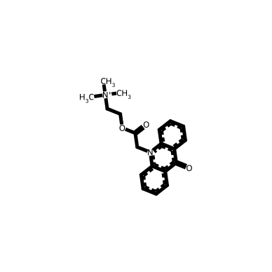 C[N+](C)(C)CCOC(=O)Cn1c2ccccc2c(=O)c2ccccc21